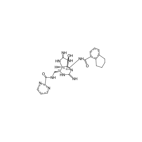 N=C1N[C@H]2[C@H](CNC(=O)c3ncccn3)NC(=N)N3CC(NC(=O)c4cccc5c4CCCC5)[C@@H](O)C23N1